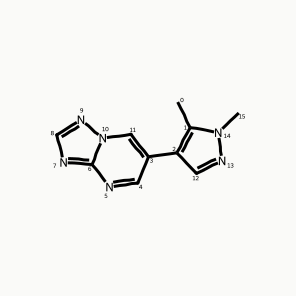 Cc1c(-c2cnc3ncnn3c2)cnn1C